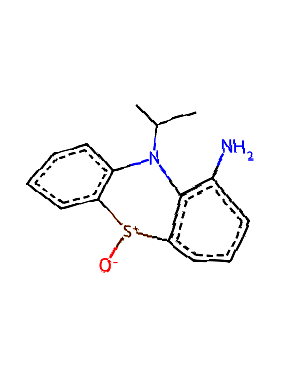 CC(C)N1c2ccccc2[S+]([O-])c2cccc(N)c21